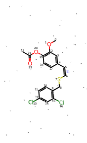 COc1cc(/C=C\SCc2ccc(Cl)cc2Cl)ccc1OC(C)=O